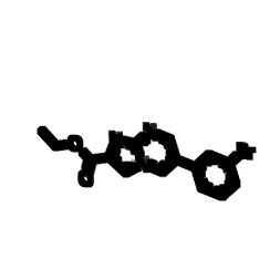 CCOC(=O)c1cn2cc(-c3cccc(Br)c3)cnc2n1